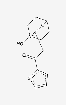 O=C(CC1CC2CC[N+]1(O)CC2)c1cccs1